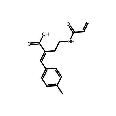 C=CC(=O)NCC/C(=C\c1ccc(C)cc1)C(=O)O